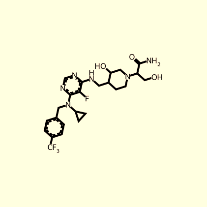 NC(=O)C(CO)N1CCC(CNc2ncnc(N(Cc3ccc(C(F)(F)F)cc3)C3CC3)c2F)C(O)C1